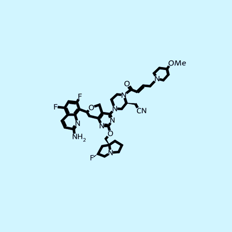 COC1CCN(C/C=C/C(=O)N2CCN(c3nc(OC[C@@]45CCCN4C[C@H](F)C5)nc4c3COC(c3c(F)cc(F)c5ccc(N)nc35)C4)C[C@@H]2CC#N)CC1